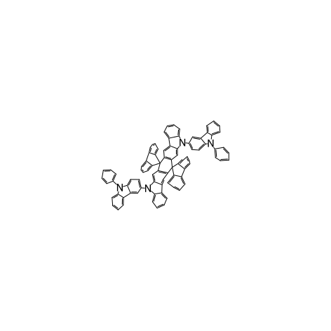 c1ccc(-n2c3ccccc3c3cc(-n4c5ccccc5c5cc6c(cc54)C4(c5ccccc5-c5ccccc54)c4cc5c7ccccc7n(-c7ccc8c(c7)c7ccccc7n8-c7ccccc7)c5cc4C64c5ccccc5-c5ccccc54)ccc32)cc1